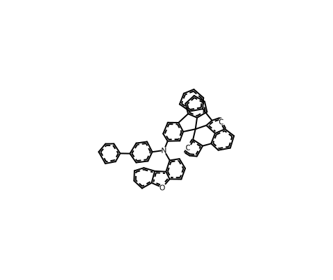 c1ccc(-c2ccc(N(c3ccc4c(c3)C3(c5ccccc5-4)c4ccccc4-c4cccc5ccc(-c6ccccc6)c3c45)c3cccc4oc5ccccc5c34)cc2)cc1